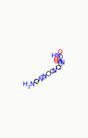 Nc1ccc(N2CCN(C3CCC4(CC3)CCN(c3ccc5cnn(C6CCC(=O)NC6=O)c(=O)c5c3)CC4)CC2)cc1